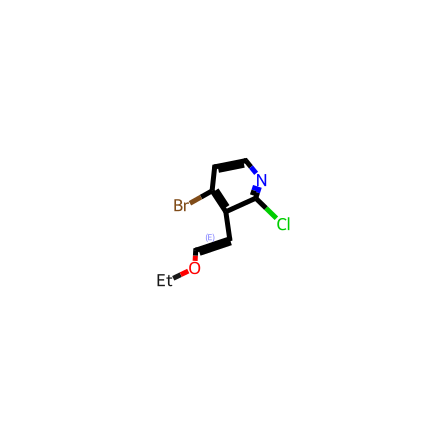 CCO/C=C/c1c(Br)ccnc1Cl